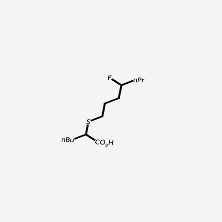 CCCCC(SCCCC(F)CCC)C(=O)O